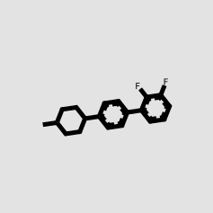 CC1CCC(c2ccc(-c3cccc(F)c3F)cc2)CC1